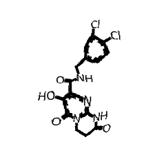 O=C1CCn2c(nc(C(=O)NCc3ccc(Cl)c(Cl)c3)c(O)c2=O)N1